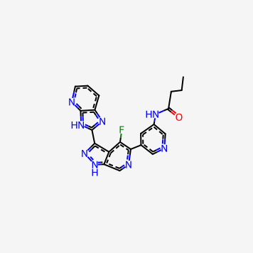 CCCC(=O)Nc1cncc(-c2ncc3[nH]nc(-c4nc5cccnc5[nH]4)c3c2F)c1